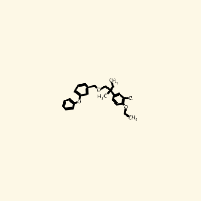 CCOc1ccc(C(C)(CC)COCc2cccc(Oc3ccccc3)c2)cc1Cl